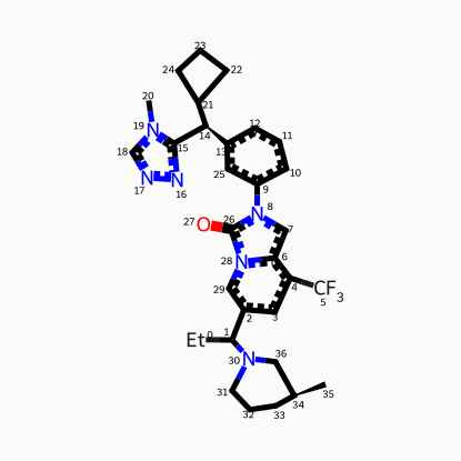 CCC(c1cc(C(F)(F)F)c2cn(-c3cccc([C@@H](c4nncn4C)C4CCC4)c3)c(=O)n2c1)N1CCC[C@H](C)C1